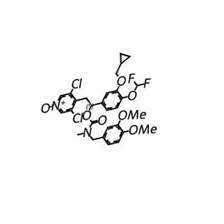 COc1ccc(CN(C)C(=O)O[C@@H](Cc2c(Cl)c[n+]([O-])cc2Cl)c2ccc(OC(F)F)c(OCC3CC3)c2)cc1OC